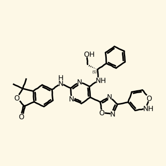 CC1(C)OC(=O)c2ccc(Nc3ncc(-c4nc(C5=CNOC=C5)no4)c(N[C@H](CO)c4ccccc4)n3)cc21